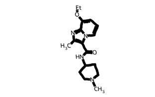 CCOc1cccn2c(C(=O)NC3CCN(C)CC3)c(C)nc12